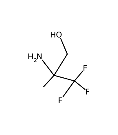 CC(N)(CO)C(F)(F)F